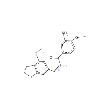 COc1ccc(C(=O)/C(Cl)=C\c2cc(OC)c3c(c2)OCO3)cc1N